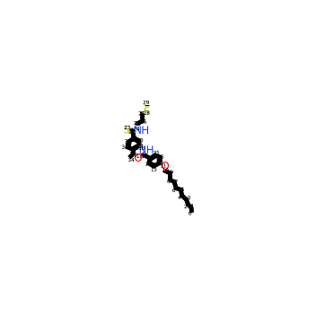 CCCCCCCCCCCOc1ccc(C(=O)Nc2cc(C(=S)NCCCSC)ccc2CC)cc1